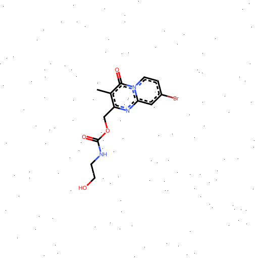 Cc1c(COC(=O)NCCO)nc2cc(Br)ccn2c1=O